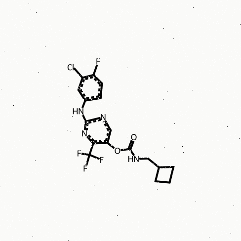 O=C(NCC1CCC1)Oc1cnc(Nc2ccc(F)c(Cl)c2)nc1C(F)(F)F